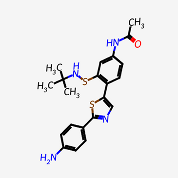 CC(=O)Nc1ccc(-c2cnc(-c3ccc(N)cc3)s2)c(SNC(C)(C)C)c1